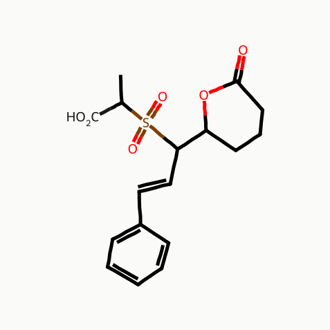 CC(C(=O)O)S(=O)(=O)C(/C=C/c1ccccc1)C1CCCC(=O)O1